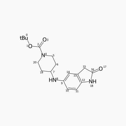 CC(C)(C)OC(=O)N1CCC(Nc2ccc3c(c2)CC(=O)N3)CC1